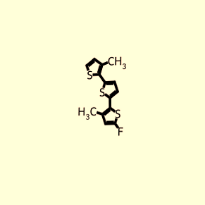 Cc1ccsc1-c1ccc(-c2sc(F)cc2C)s1